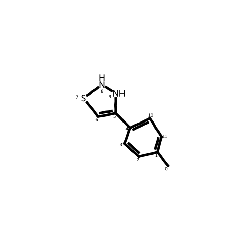 Cc1ccc(C2=CSNN2)cc1